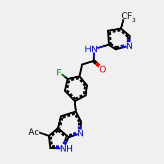 CC(=O)c1c[nH]c2ncc(-c3ccc(CC(=O)Nc4cncc(C(F)(F)F)c4)c(F)c3)cc12